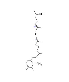 CC1=CC=C(CCC(C)CCC/C(C)=C/CC/C(C)=C/CCC(C)O)C(P)C1C